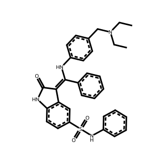 CCN(CC)Cc1ccc(N/C(=C2\C(=O)Nc3ccc(S(=O)(=O)Nc4ccccc4)cc32)c2ccccc2)cc1